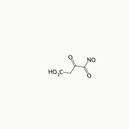 O=NC(=O)C(=O)CC(=O)O